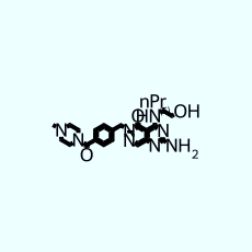 CCC[C@@H](CO)Nc1nc(N)nc2cnn(Cc3ccc(C(=O)N4CCN(C)CC4)cc3)c(=O)c12